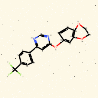 FC(F)(F)c1ccc(-c2cc(Oc3ccc4c(c3)OCCO4)ncn2)cc1